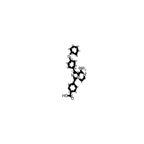 Nc1nccn2c(-c3ccc(C(=O)O)cc3)nc(-c3ccc(Oc4ccccc4)cc3)c12